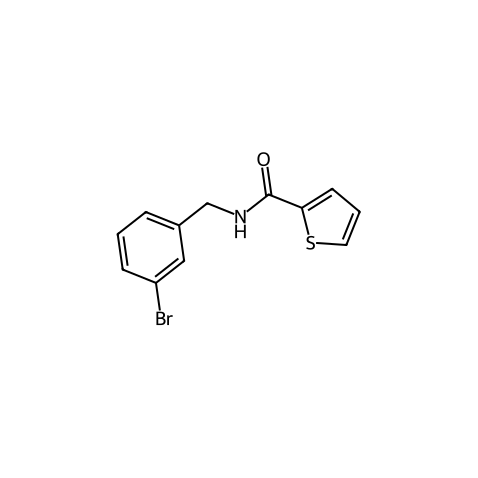 O=C(NCc1cccc(Br)c1)c1cccs1